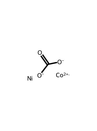 O=C([O-])[O-].[Co+2].[Ni]